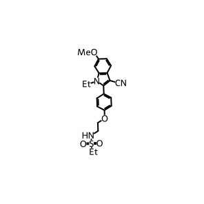 CCn1c(-c2ccc(OCCNS(=O)(=O)CC)cc2)c(C#N)c2ccc(OC)cc21